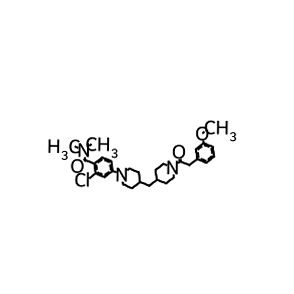 COc1cccc(CC(=O)N2CCC(CC3CCN(c4ccc(C(=O)N(C)C)c(Cl)c4)CC3)CC2)c1